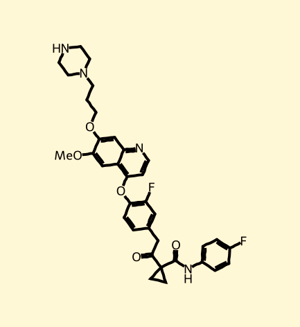 COc1cc2c(Oc3ccc(CC(=O)C4(C(=O)Nc5ccc(F)cc5)CC4)cc3F)ccnc2cc1OCCCN1CCNCC1